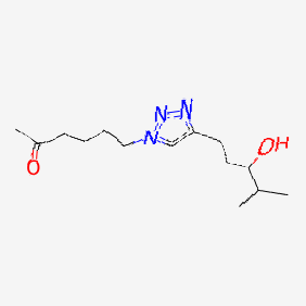 CC(=O)CCCCn1cc(CCC(O)C(C)C)nn1